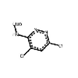 O=CNc1nnc(Cl)cc1Cl